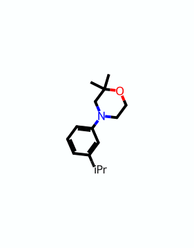 CC(C)c1cccc(N2CCOC(C)(C)C2)c1